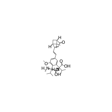 COc1cc(/C=C/C2=CC(=O)[C@H]3C[C@@H]2C3(C)C)cc([C@](N)(C(=O)O)C(C)C)c1[C@](N)(C(=O)O)C(C)C